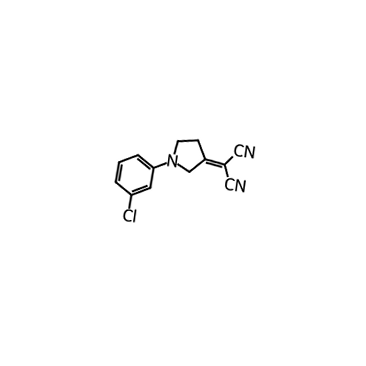 N#CC(C#N)=C1CCN(c2cccc(Cl)c2)C1